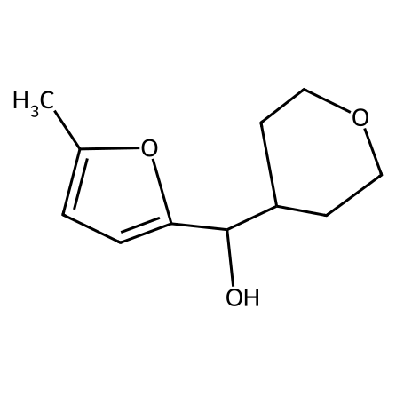 Cc1ccc(C(O)C2CCOCC2)o1